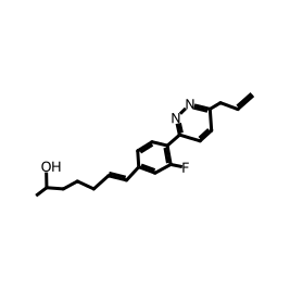 C=CCc1ccc(-c2ccc(C=CCCCC(C)O)cc2F)nn1